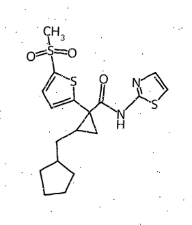 CS(=O)(=O)c1ccc(C2(C(=O)Nc3nccs3)CC2CC2CCCC2)s1